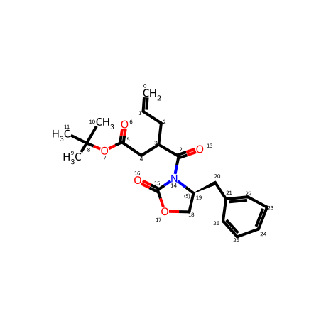 C=CCC(CC(=O)OC(C)(C)C)C(=O)N1C(=O)OC[C@@H]1Cc1ccccc1